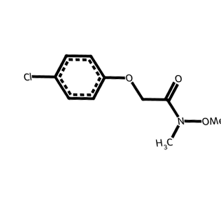 CON(C)C(=O)COc1ccc(Cl)cc1